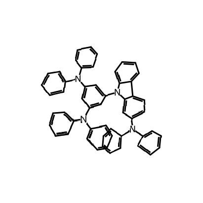 c1ccc(N(c2ccccc2)c2cc(N(c3ccccc3)c3ccccc3)cc(-n3c4ccccc4c4ccc(N(c5ccccc5)c5ccccc5)cc43)c2)cc1